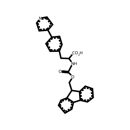 O=C(NC(Cc1ccc(-c2ccncc2)cc1)C(=O)O)OCC1c2ccccc2-c2ccccc21